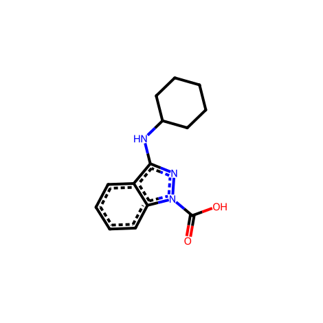 O=C(O)n1nc(NC2CCCCC2)c2ccccc21